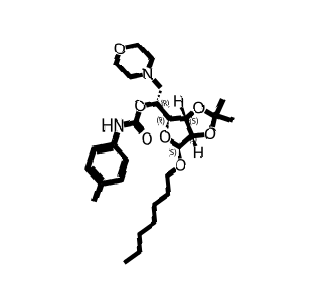 CCCCCCCO[C@H]1O[C@H]([C@@H](CN2CCOCC2)OC(=O)Nc2ccc(C)cc2)[C@@H]2OC(C)(C)O[C@H]12